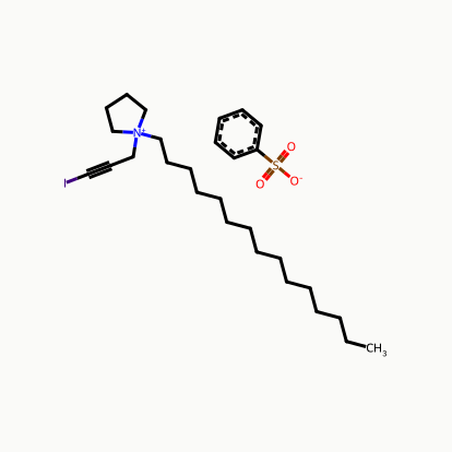 CCCCCCCCCCCCCCC[N+]1(CC#CI)CCCC1.O=S(=O)([O-])c1ccccc1